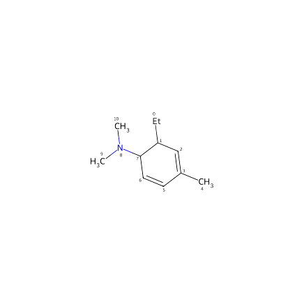 CCC1C=C(C)C=CC1N(C)C